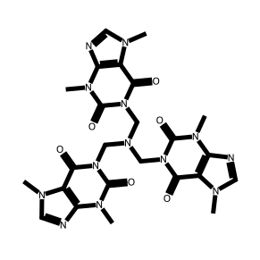 Cn1cnc2c1c(=O)n(CN(Cn1c(=O)c3c(ncn3C)n(C)c1=O)Cn1c(=O)c3c(ncn3C)n(C)c1=O)c(=O)n2C